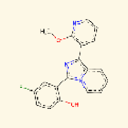 COc1ncccc1-c1nc(-c2cc(F)ccc2O)n2ccccc12